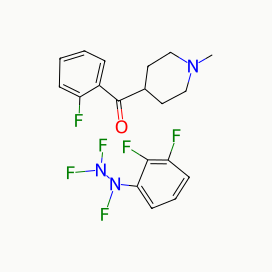 CN1CCC(C(=O)c2ccccc2F)CC1.Fc1cccc(N(F)N(F)F)c1F